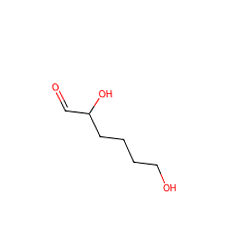 O=CC(O)CCCCO